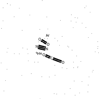 N#N.O=C=O.O=O.[9He].[Ar]